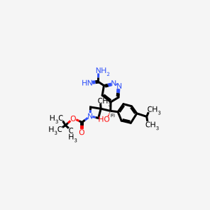 CC(C)c1ccc([C@](O)(c2cnnc(C(=N)N)c2)C2(C)CN(C(=O)OC(C)(C)C)C2)cc1